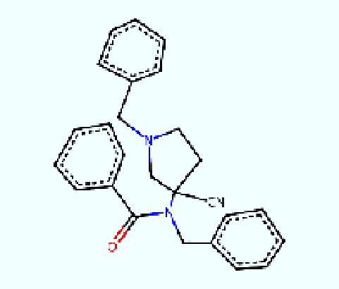 N#CC1(N(Cc2ccccc2)C(=O)c2ccccc2)CCN(Cc2ccccc2)C1